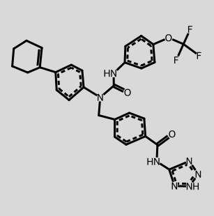 O=C(Nc1nn[nH]n1)c1ccc(CN(C(=O)Nc2ccc(OC(F)(F)F)cc2)c2ccc(C3=CCCCC3)cc2)cc1